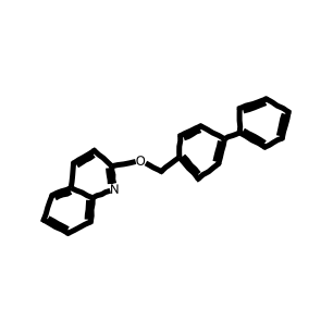 c1ccc(-c2ccc(COc3ccc4ccccc4n3)cc2)cc1